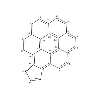 c1cc2c3ccc4ccc5ccc6ccc7ccc(c2s1)c1c7c6c5c4c31